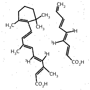 [3H]C(C=C(C)C=CC1=C(C)CCCC1(C)C)=C([3H])C(C)=CC(=O)O.[3H]C(C=CC=C)=C([3H])C=CC(=O)O